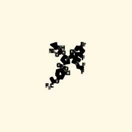 C[C@H](Oc1ccc(S(=O)(=O)[C@@H]2C[C@H](OC(=O)NC3(C#N)CC3)N(C(=O)C3(c4ncc(Br)cc4F)CN(CC(F)F)C3)C2)c(Cl)c1)C(F)(F)F